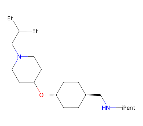 CCCC(C)NC[C@H]1CC[C@H](OC2CCN(CC(CC)CC)CC2)CC1